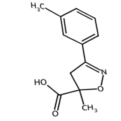 Cc1cccc(C2=NOC(C)(C(=O)O)C2)c1